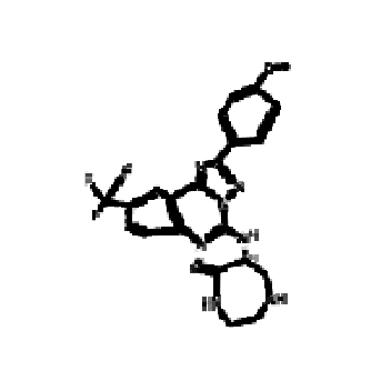 COc1ccc(-c2nc3c4cc(C(F)(F)F)ccc4nc(N[C@@H]4CNCCNC4=O)n3n2)cc1